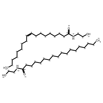 CCCCCCCC/C=C\CCCCCCCC(=O)NCCO.CCCCCCCCCCCCCCCCCC(=O)NCCO